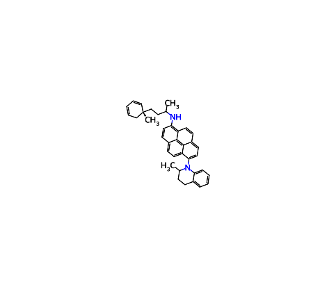 CC(CC[C@@]1(C)C=CC=CC1)Nc1ccc2ccc3c(N4c5ccccc5CCC4C)ccc4ccc1c2c43